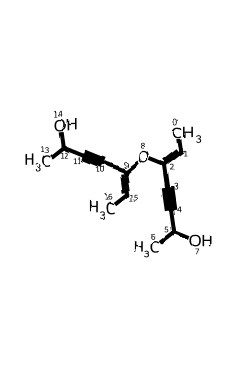 CC=C(C#CC(C)O)OC(C#CC(C)O)=CC